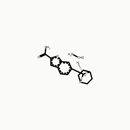 NC(=O)c1cc2ccc([C@H]3CC4CCN(CC4)C3)cc2o1.NC=O